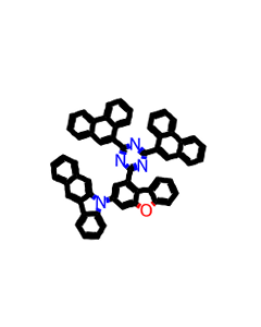 c1ccc2cc3c(cc2c1)c1ccccc1n3-c1cc(-c2nc(-c3cc4ccccc4c4ccccc34)nc(-c3cc4ccccc4c4ccccc34)n2)c2c(c1)oc1ccccc12